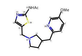 COc1ccc(CC2CCN(Cc3cnc(NC(C)=O)s3)C2)nc1